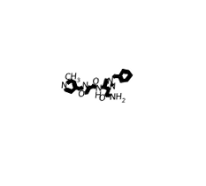 Cc1cc(-c2nc(C(=O)Nc3cn(Cc4ccccc4)nc3C(N)=O)co2)ccn1